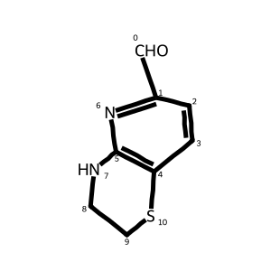 O=Cc1ccc2c(n1)NCCS2